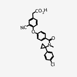 CN(C(=O)c1ccc(Oc2ccc(CC(=O)O)cc2C#N)cc1)C1(c2ccc(Cl)cc2)CC1